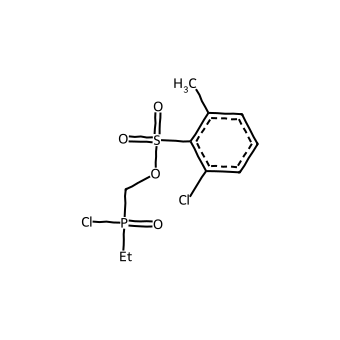 CCP(=O)(Cl)COS(=O)(=O)c1c(C)cccc1Cl